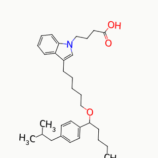 CCCCC(OCCCCCc1cn(CCCC(=O)O)c2ccccc12)c1ccc(CC(C)C)cc1